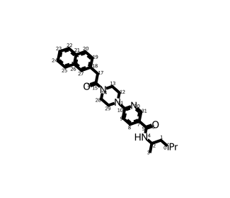 CC(C)CC(C)NC(=O)c1ccc(N2CCN(C(=O)Cc3ccc4ccccc4c3)CC2)nc1